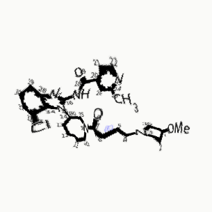 COC1CN(C/C=C/C(=O)N2CCCC[C@@H](n3c(NC(=O)c4ccnc(C)c4)nc4cccc(Cl)c43)C2)C1